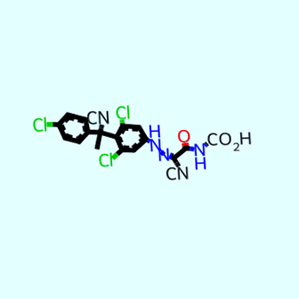 CC(C#N)(c1ccc(Cl)cc1)c1c(Cl)cc(NN=C(C#N)C(=O)NC(=O)O)cc1Cl